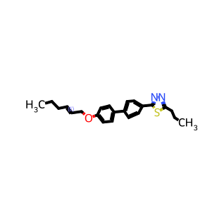 CCC/C=C/COc1ccc(-c2ccc(-c3nnc(CCC)s3)cc2)cc1